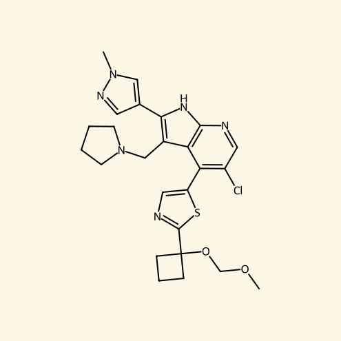 COCOC1(c2ncc(-c3c(Cl)cnc4[nH]c(-c5cnn(C)c5)c(CN5CCCC5)c34)s2)CCC1